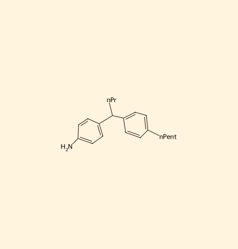 CCCCCc1ccc(C(CCC)c2ccc(N)cc2)cc1